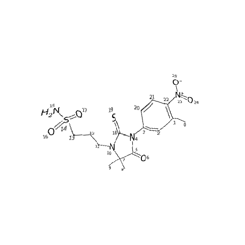 Cc1cc(N2C(=O)C(C)(C)N(CCCS(N)(=O)=O)C2=S)ccc1[N+](=O)[O-]